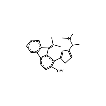 CCCc1ccc2c(c1C1=CC(C(C)N(C)C)=CC1)C(=C(C)C)c1ccccc1-2